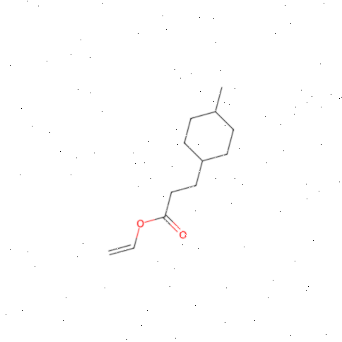 C=COC(=O)CCC1CCC(C)CC1